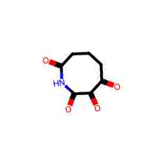 O=C1CCCC(=O)C(=O)C(=O)N1